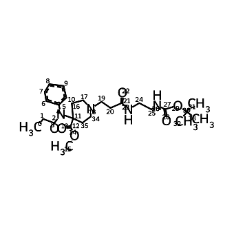 CCC(=O)N(c1ccccc1)C1(C(=O)OC)CCN(CCC(=O)NCCNC(=O)OC(C)(C)C)CC1